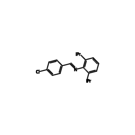 CC(C)c1cccc(C(C)C)c1N=Cc1ccc(Cl)cc1